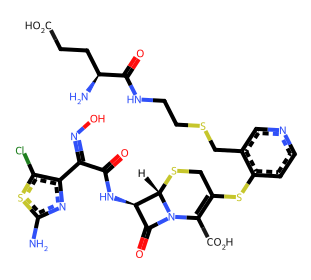 Nc1nc(/C(=N/O)C(=O)N[C@@H]2C(=O)N3C(C(=O)O)=C(Sc4ccncc4CSCCNC(=O)[C@@H](N)CCC(=O)O)CS[C@@H]23)c(Cl)s1